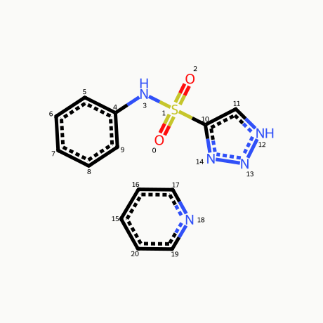 O=S(=O)(Nc1ccccc1)c1c[nH]nn1.c1ccncc1